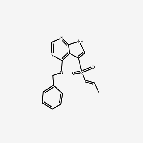 C/C=C/S(=O)(=O)c1c[nH]c2ncnc(OCc3ccccc3)c12